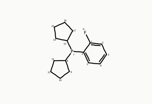 Fc1ccccc1P(C1CCCC1)C1CCCC1